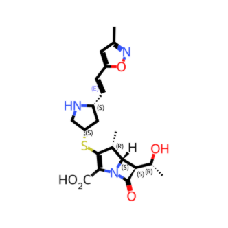 Cc1cc(/C=C/[C@@H]2C[C@H](SC3=C(C(=O)O)N4C(=O)[C@H]([C@@H](C)O)[C@H]4[C@H]3C)CN2)on1